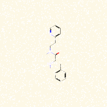 CN(CCc1ccccn1)C(=O)[C@H](Cc1ccccc1)NI